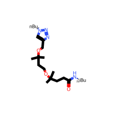 CCCCn1cc(COC(C)(C)CCOC(C)(C)CCC(=O)N[C@@H](C)CC)nn1